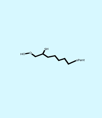 CCCCCCCCCCC(S)COO